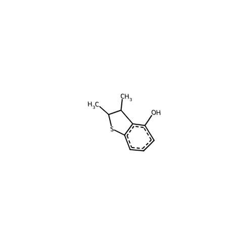 CC1Sc2cccc(O)c2C1C